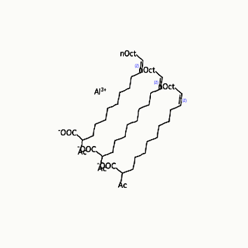 CCCCCCCC/C=C\CCCCCCCCC(C(C)=O)C(=O)[O-].CCCCCCCC/C=C\CCCCCCCCC(C(C)=O)C(=O)[O-].CCCCCCCC/C=C\CCCCCCCCC(C(C)=O)C(=O)[O-].[Al+3]